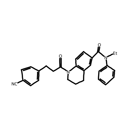 CCN(C(=O)c1ccc2c(c1)CCCN2C(=O)CCc1ccc(C#N)cc1)c1ccccc1